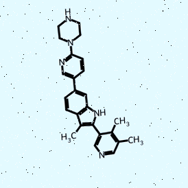 Cc1cncc(-c2[nH]c3cc(-c4ccc(N5CCNCC5)nc4)ccc3c2C)c1C